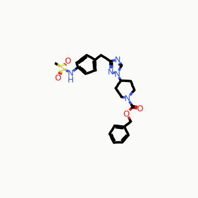 CS(=O)(=O)Nc1ccc(Cc2ncn(C3CCN(C(=O)OCc4ccccc4)CC3)n2)cc1